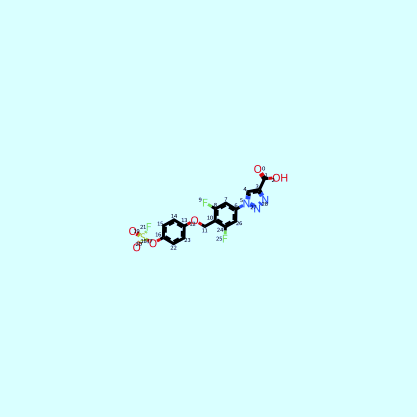 O=C(O)c1cn(-c2cc(F)c(COc3ccc(OS(=O)(=O)F)cc3)c(F)c2)nn1